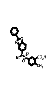 CCN(c1ccc2oc(-c3ccccc3)nc2c1)S(=O)(=O)c1ccc(C)c(C(=O)O)c1